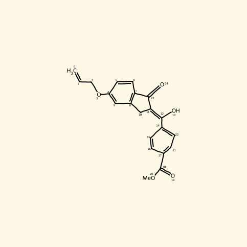 C=CCOc1ccc2c(c1)CC(=C(O)c1ccc(C(=O)OC)cc1)C2=O